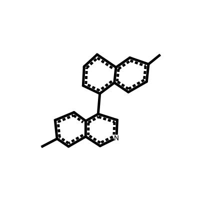 Cc1ccc2c(-c3cncc4cc(C)ccc34)cccc2c1